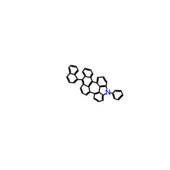 c1ccc(-n2c3cccc4c3c3c(cccc32)-c2c3ccccc3c(-c3cccc5ccccc35)c3cccc-4c23)cc1